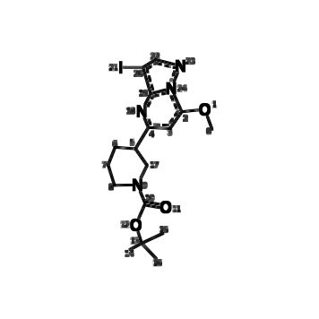 COc1cc(C2CCCN(C(=O)OC(C)(C)C)C2)nc2c(I)cnn12